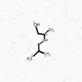 CC(C)CN[C@H](C)CO